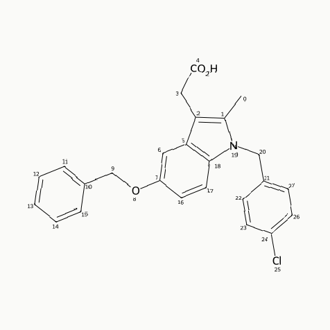 Cc1c(CC(=O)O)c2cc(OCc3ccccc3)ccc2n1Cc1ccc(Cl)cc1